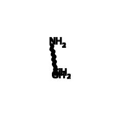 NCCCCCCCCCCC[SiH2]O